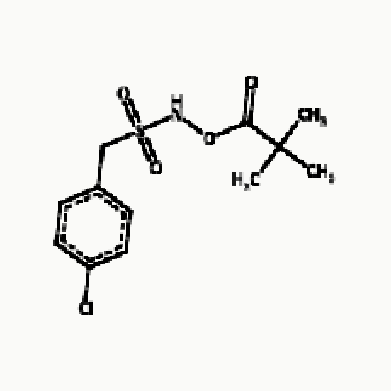 CC(C)(C)C(=O)ONS(=O)(=O)Cc1ccc(Cl)cc1